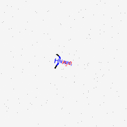 CNC.N.O